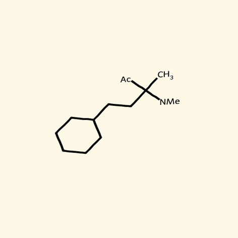 CNC(C)(CCC1CCCCC1)C(C)=O